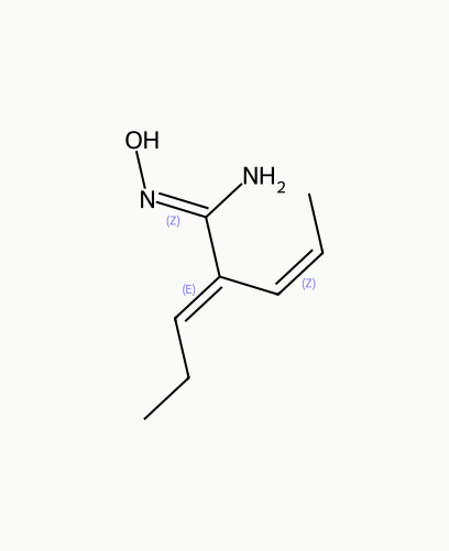 C\C=C/C(=C\CC)C(/N)=N/O